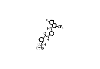 CCS(=O)(=O)Nc1cccc(C(=O)N[C@@H]2CCC[C@H](Nc3cc(C(F)(F)F)nc4ccc(F)cc34)C2)c1